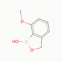 OB1OCc2cccc(OI)c21